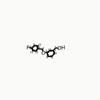 OCc1[c]ccc(OCc2ccc(F)cc2)c1